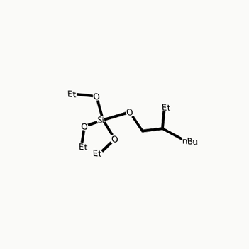 CCCCC(CC)CO[Si](OCC)(OCC)OCC